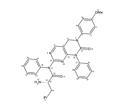 COc1ccc(N2Cc3cnc(N(C(=O)[C@@H](N)CC(C)C)c4ccccc4)nc3N(c3ccccc3)C2=O)cc1